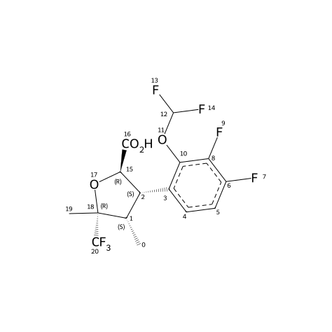 C[C@H]1[C@@H](c2ccc(F)c(F)c2OC(F)F)[C@H](C(=O)O)O[C@@]1(C)C(F)(F)F